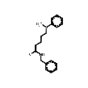 CC(CCCCN(C)c1ccccc1)NCc1ccccc1